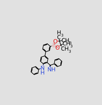 CC1(C)OB(c2cccc(-c3ccc(Nc4ccccc4)c(C(=N)c4ccccc4)c3)c2)OC1(C)C